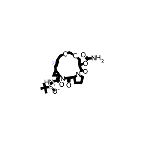 CC(C)(C)[S+]([O-])NC(=O)C12CC1/C=C\CCCCCC(OC(N)=O)C(=O)N1CCCC1C(=O)N2